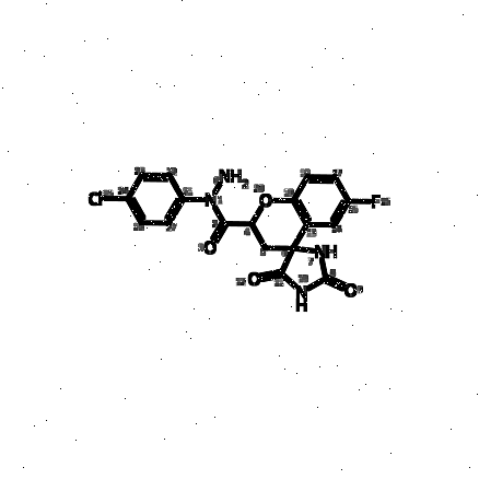 NN(C(=O)C1CC2(NC(=O)NC2=O)c2cc(F)ccc2O1)c1ccc(Cl)cc1